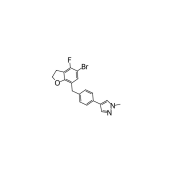 Cn1cc(-c2ccc(Cc3cc(Br)c(F)c4c3OCC4)cc2)cn1